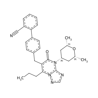 CCCc1c(Cc2ccc(-c3ccccc3C#N)cc2)c(=O)n([C@H]2C[C@@H](C)O[C@@H](C)C2)c2ncnn12